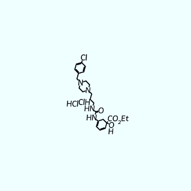 CCOC(=O)C1(O)C=CC=C(NC(=O)NCCCN2CCN(Cc3ccc(Cl)cc3)CC2)C1.Cl.Cl